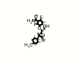 Cc1ccc(-c2nc([C@@H](CO)Oc3ccc(F)c(C(N)=O)c3F)oc2Br)cc1